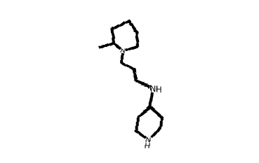 CC1CCCCN1CCCNC1CCNCC1